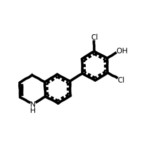 Oc1c(Cl)cc(-c2ccc3c(c2)[CH]C=CN3)cc1Cl